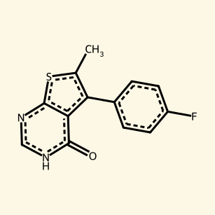 Cc1sc2nc[nH]c(=O)c2c1-c1ccc(F)cc1